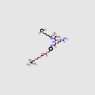 CC(C)[C@@H](NC(=O)CCCCCN1C(=O)C=CC1=O)C(=O)N[C@H](CCCNC(N)=O)C(=O)Nc1ccc(COC(=O)NCCOCCOCCC(C)(C)C)cc1